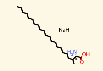 CCCCCCCCCCCCCCCCCCCC(C)[C@H](N)C(=O)O.[NaH]